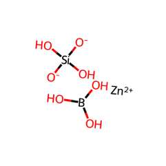 OB(O)O.[O-][Si]([O-])(O)O.[Zn+2]